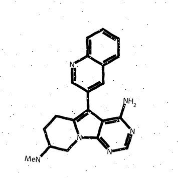 CNC1CCc2c(-c3cnc4ccccc4c3)c3c(N)ncnc3n2C1